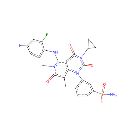 Cc1c(=O)n(C)c(Nc2ccc(I)cc2F)c2c(=O)n(C3CC3)c(=O)n(-c3cccc(S(N)(=O)=O)c3)c12